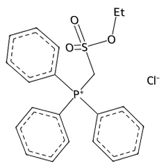 CCOS(=O)(=O)C[P+](c1ccccc1)(c1ccccc1)c1ccccc1.[Cl-]